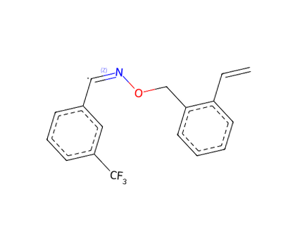 C=Cc1ccccc1CO/N=[C]\c1cccc(C(F)(F)F)c1